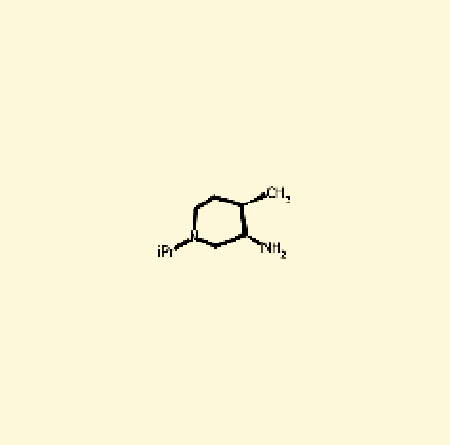 CC(C)N1CC[C@@H](C)[C@@H](N)C1